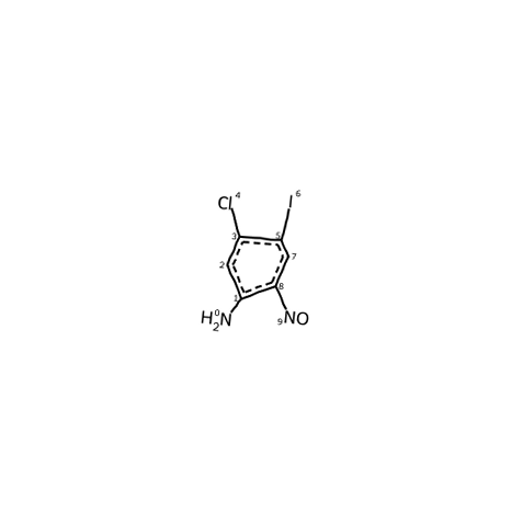 Nc1cc(Cl)c(I)cc1N=O